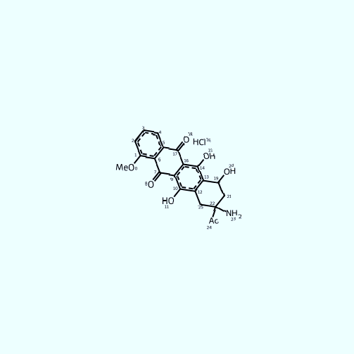 COc1cccc2c1C(=O)c1c(O)c3c(c(O)c1C2=O)C(O)CC(N)(C(C)=O)C3.Cl